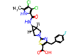 Cc1[nH]c(C(=O)N[C@@H]2[C@@H]3CN(c4nc(Cc5ccc(F)cc5)c(C(=O)O)s4)C[C@@H]32)c(Cl)c1Cl